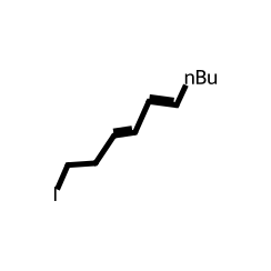 CCCCC=CC=CCCI